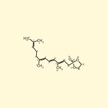 CC(C)=CCC/C(C)=C/C=C/C(C)=C/CP1(=O)OCCO1